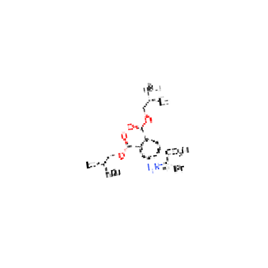 CC(C)[C@H](N)C(=O)O.CCCCC(CC)COC(=O)c1ccccc1C(=O)OCC(CC)CCCC